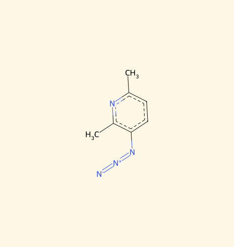 Cc1ccc(N=[N+]=[N-])c(C)n1